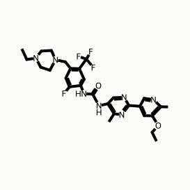 CCOc1cc(-c2ncc(NC(=O)Nc3cc(C(F)(F)F)c(CN4CCN(CC)CC4)cc3F)c(C)n2)cnc1C